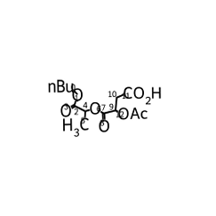 CCCCOC(=O)C(C)OC(=O)C(CC(=O)O)OC(C)=O